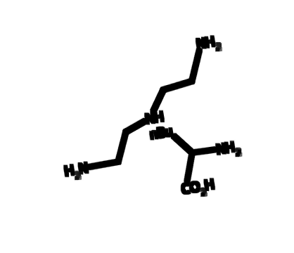 CCCCC(N)C(=O)O.NCCNCCN